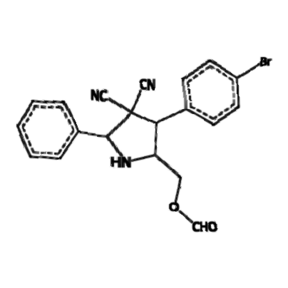 N#CC1(C#N)C(c2ccccc2)NC(COC=O)C1c1ccc(Br)cc1